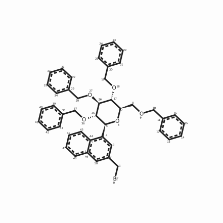 BrCc1cc([C@@H]2O[C@H](COCc3ccccc3)[C@@H](OCc3ccccc3)[C@H](OCc3ccccc3)[C@H]2OCc2ccccc2)c2ccccc2c1